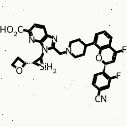 N#Cc1ccc([C@@H]2C=C(F)c3cccc(C4CCN(Cc5nc6ccc(C(=O)O)nc6n5C5[SiH2][C@@H]5C5CCO5)CC4)c3O2)c(F)c1